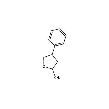 CC1CC(c2ccccc2)CO1